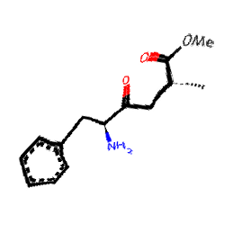 COC(=O)[C@H](C)CC(=O)[C@@H](N)Cc1ccccc1